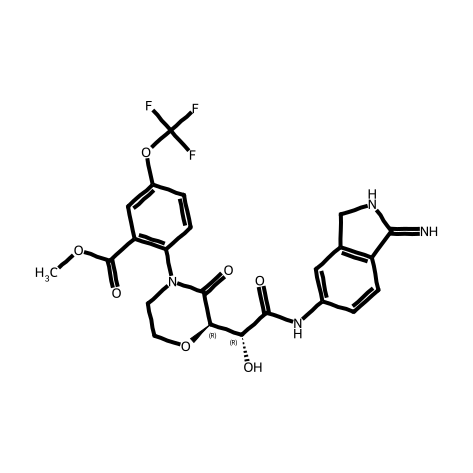 COC(=O)c1cc(OC(F)(F)F)ccc1N1CCO[C@H]([C@@H](O)C(=O)Nc2ccc3c(c2)CNC3=N)C1=O